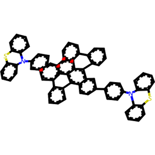 c1ccc(-c2ccccc2-c2c3ccc(-c4ccc(N5c6ccccc6Sc6ccccc65)cc4)cc3c(-c3ccccc3-c3ccccc3)c3ccc(-c4ccc(N5c6ccccc6Sc6ccccc65)cc4)cc23)cc1